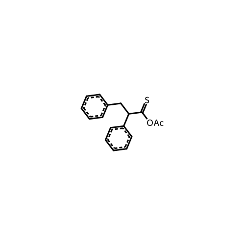 CC(=O)OC(=S)C(Cc1ccccc1)c1ccccc1